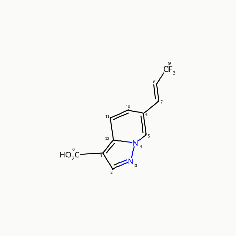 O=C(O)c1cnn2cc(/C=C/C(F)(F)F)ccc12